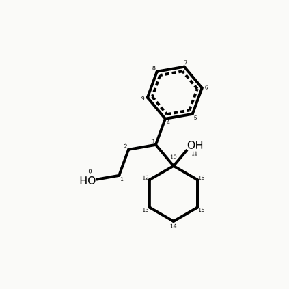 OCCC(c1ccccc1)C1(O)CCCCC1